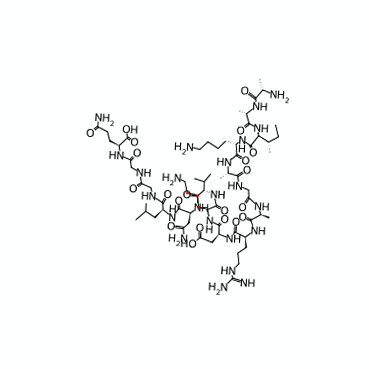 CC[C@H](C)[C@H](NC(=O)[C@H](C)NC(=O)[C@H](C)N)C(=O)N[C@@H](CCCCN)C(=O)N[C@@H](C)C(=O)NCC(=O)N[C@@H](C)C(=O)N[C@@H](CCCNC(=N)N)C(=O)N[C@@H](CC(=O)O)C(=O)N[C@@H](CCCCN)C(=O)N[C@H](C(=O)N[C@@H](CC(N)=O)C(=O)N[C@@H](CC(C)C)C(=O)NCC(=O)NCC(=O)N[C@@H](CCC(N)=O)C(=O)O)C(C)C